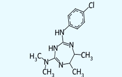 CC1N=C(Nc2ccc(Cl)cc2)NC(N(C)C)=NC1C